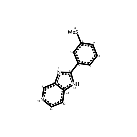 CSc1cccc(-c2nc3cnccc3[nH]2)c1